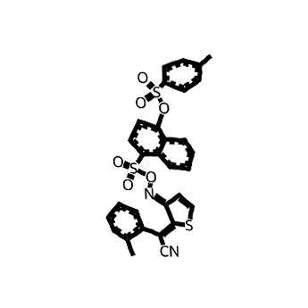 Cc1ccc(S(=O)(=O)Oc2ccc(S(=O)(=O)ON=C3C=CSC3=C(C#N)c3ccccc3C)c3ccccc23)cc1